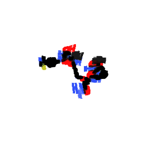 Cc1ncsc1-c1ccc(CNC(=O)[C@@H]2C[C@@H](O)CN2C(=O)[C@@H](NC(=O)CCCCC/C=C\COC[C@H](CCC(N)=O)NC(=O)[C@@H]2Cc3cccc4c3N2C(=O)[C@@H](NC(=O)OC(C)(C)C)CC4)C(C)(C)C)cc1